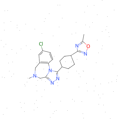 Cc1nc(C2CCC(c3nnc4n3-c3ccc(Cl)cc3CN(C)C4)CC2)no1